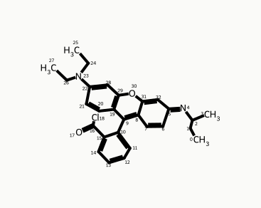 CCC(C)/N=c1\ccc2c(-c3ccccc3C(=O)Cl)c3ccc(N(CC)CC)cc3oc-2c1